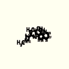 CC(C)C(NC(=O)C1CN(C)C1)c1ccc2cccnc2c1O